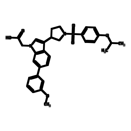 COc1cccc(-c2ccc3c(C4CCN(S(=O)(=O)c5ccc(OC(C)C)cc5)C4)cn(CC(=O)O)c3c2)c1